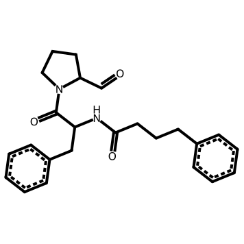 O=CC1CCCN1C(=O)C(Cc1ccccc1)NC(=O)CCCc1ccccc1